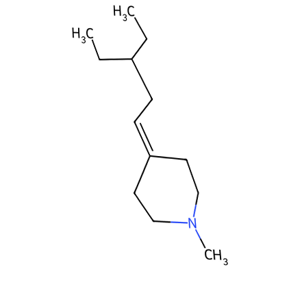 CCC(CC)CC=C1CCN(C)CC1